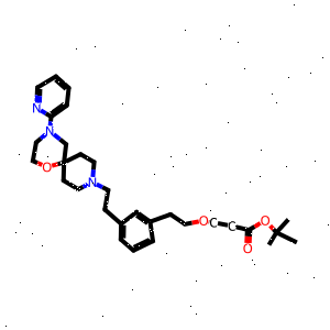 CC(C)(C)OC(=O)CCOCCc1cccc(CCN2CCC3(CC2)CN(c2ccccn2)CCO3)c1